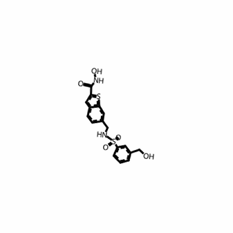 O=C(NO)c1cc2ccc(CNS(=O)(=O)c3cccc(CO)c3)cc2s1